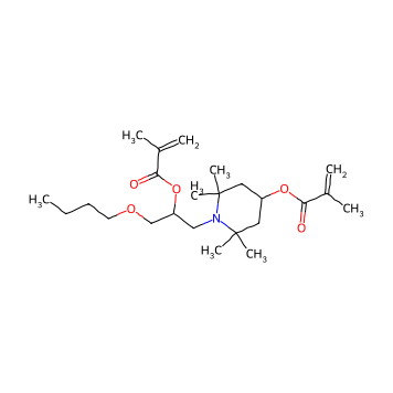 C=C(C)C(=O)OC(COCCCC)CN1C(C)(C)CC(OC(=O)C(=C)C)CC1(C)C